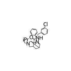 CC(C)CN1CC2CC3C=NC2(C(=O)NCc2cccc(Cl)c2)C1C3Cc1ccccc1